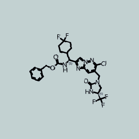 O=C(N[C@H](c1cn2nc(Cl)c(CN3C[C@@H](C(F)(F)F)NC3=O)cc2n1)C1CCC(F)(F)CC1)OCc1ccccc1